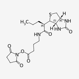 CCC[C@H](C(=O)NCCCC(=O)ON1C(=O)CCC1=O)C1SC[C@@H]2NC(=O)N[C@H]12